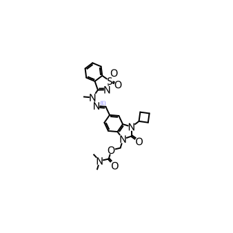 CN(C)C(=O)OCn1c(=O)n(C2CCC2)c2cc(/C=N/N(C)C3=NS(=O)(=O)c4ccccc43)ccc21